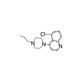 CCCN1CCN(c2ccnc3cccc(Cl)c23)CC1